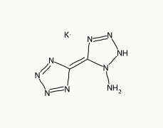 NN1NN=NC1=C1N=NN=N1.[K]